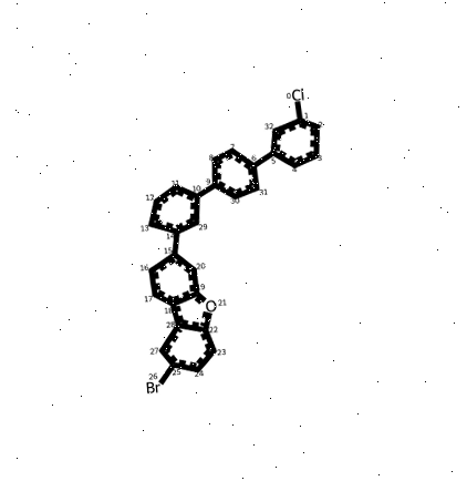 Clc1cccc(-c2ccc(-c3cccc(-c4ccc5c(c4)oc4ccc(Br)cc45)c3)cc2)c1